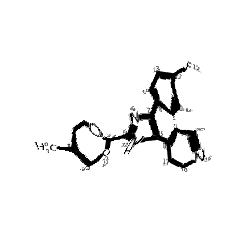 C[C]1COC(c2nc(-c3ccc(F)cc3)c(-c3ccncc3)[nH]2)OC1